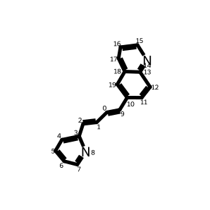 C(C=Cc1ccccn1)=Cc1ccc2ncccc2c1